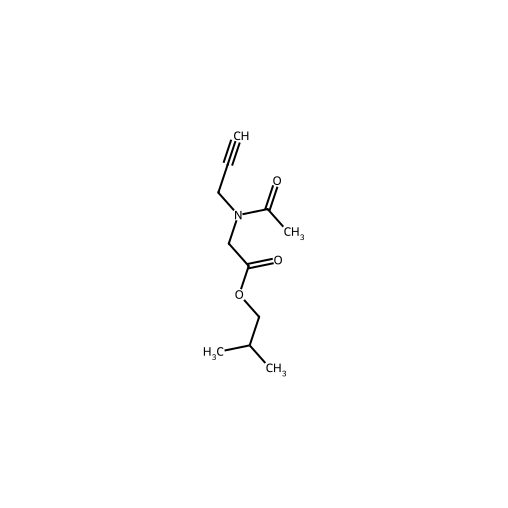 C#CCN(CC(=O)OCC(C)C)C(C)=O